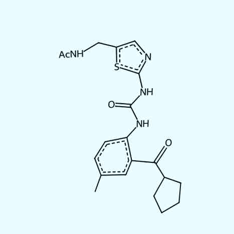 CC(=O)NCc1cnc(NC(=O)Nc2ccc(C)cc2C(=O)C2CCCC2)s1